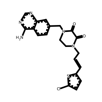 Nc1ncnc2cc(CN3CCN(C/C=C/c4ccc(Cl)s4)C(=O)C3=O)ccc12